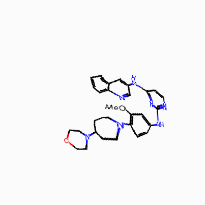 COc1cc(Nc2nccc(Nc3cnc4ccccc4c3)n2)ccc1N1CCC(N2CCOCC2)CC1